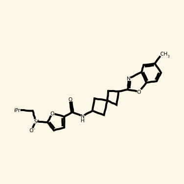 Cc1ccc2oc(C3CC4(CC(NC(=O)c5ccc([S+]([O-])CC(C)C)o5)C4)C3)nc2c1